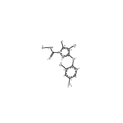 CCNC(=O)n1nc(Oc2ncc(C(F)(F)F)cc2Cl)c(Cl)c1C